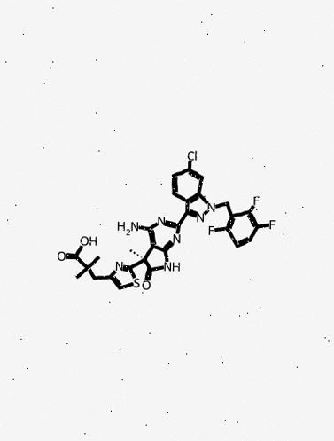 CC(C)(Cc1csc([C@]2(C)C(=O)Nc3nc(-c4nn(Cc5c(F)ccc(F)c5F)c5cc(Cl)ccc45)nc(N)c32)n1)C(=O)O